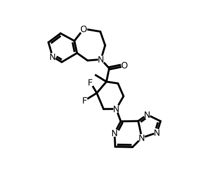 CC1(C(=O)N2CCOc3ccncc3C2)CCN(c2nccn3ncnc23)CC1(F)F